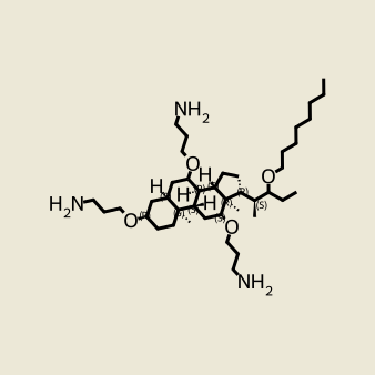 CCCCCCCCOC(CC)[C@@H](C)[C@H]1CC[C@H]2[C@@H]3C(OCCCN)C[C@@H]4C[C@H](OCCCN)CC[C@]4(C)[C@H]3C[C@H](OCCCN)[C@]12C